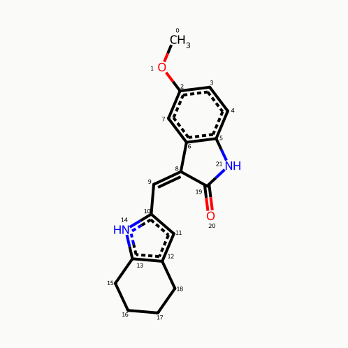 COc1ccc2c(c1)/C(=C/c1cc3c([nH]1)CCCC3)C(=O)N2